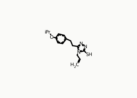 C=CCn1c(S)nnc1CCc1ccc(OC(C)C)cc1